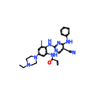 C=CC(=O)Nc1cc(N2CCN(CC)CC2)cc(C)c1Nc1ncc(C#N)c(Nc2ccccc2)n1